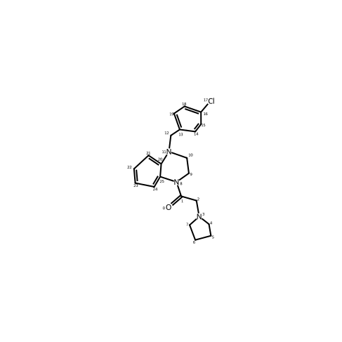 O=C(CN1CCCC1)N1CCN(Cc2ccc(Cl)cc2)c2ccccc21